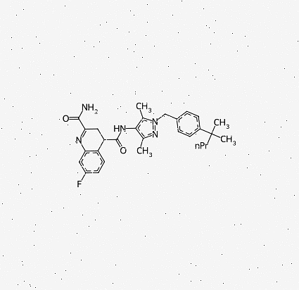 CCCC(C)(C)c1ccc(Cn2nc(C)c(NC(=O)C3CC(C(N)=O)=Nc4cc(F)ccc43)c2C)cc1